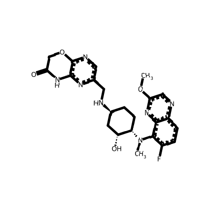 COc1cnc2ccc(F)c(N(C)[C@H]3CC[C@H](NCc4cnc5c(n4)NC(=O)CO5)C[C@H]3O)c2n1